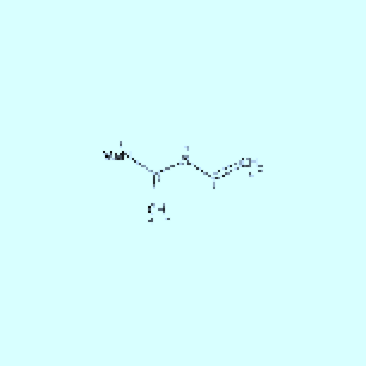 C=CSC(C)NC